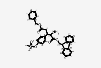 CS(=O)(=O)Oc1ccc(C(CC(=O)OCc2ccccc2)C(N)C(=O)OCC2c3ccccc3-c3ccccc32)cc1